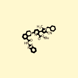 Cc1c(-c2ccc(N3CCc4cccc(C(=O)Nc5nc6ccccc6s5)c4C3)nc2C(=O)OC(C)(C)C)cc(C#N)n1CC1CCCCC1